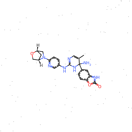 CC1=CN=C(Nc2ccc(N3C[C@@H]4C[C@H]3CO4)nc2)NC1(N)c1ccc2oc(=O)[nH]c2c1